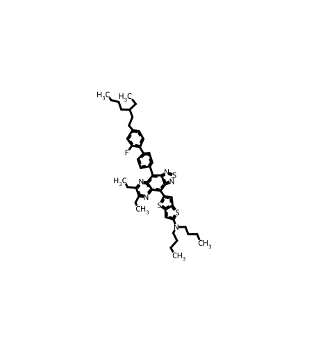 CCCCC(CC)CCc1ccc(-c2ccc(-c3c4nsnc4c(-c4cc5sc(N(CCCC)CCCC)cc5s4)c4nc(CC)c(CC)nc34)cc2)c(F)c1